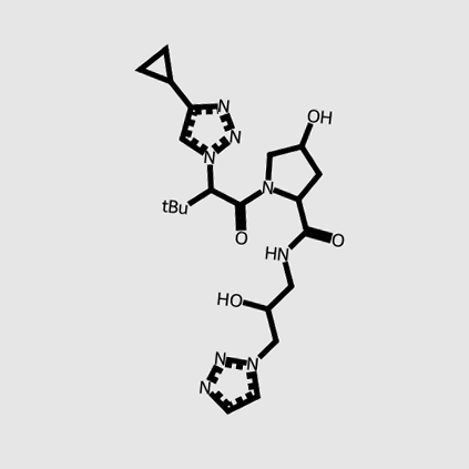 CC(C)(C)C(C(=O)N1CC(O)CC1C(=O)NCC(O)Cn1ccnn1)n1cc(C2CC2)nn1